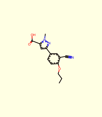 CCCOc1ccc(-c2cc(C(=O)O)n(C)n2)cc1C#N